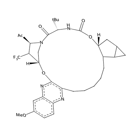 COc1ccc2nc3c(nc2c1)O[C@H]1CN(C(=O)[C@H](C(C)(C)C)NC(=O)O[C@@H]2CC4CC4C2CCCCC3)[C@H](C(C)=O)C1C(F)(F)F